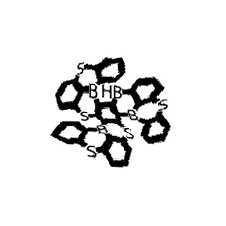 B1c2cccc3c2B(c2ccccc2S3)c2c1c1c(c3c2Sc2cccc4c2B3c2ccccc2S4)Sc2cccc3c2B1c1ccccc1S3